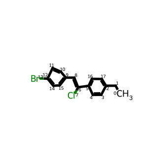 CCc1ccc(C(Cl)=Cc2ccc(Br)cc2)cc1